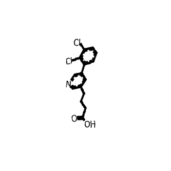 O=C(O)CCCc1cncc(-c2cccc(Cl)c2Cl)c1